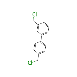 ClCc1ccc(-c2cccc(CCl)c2)cc1